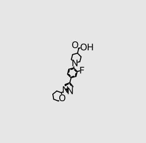 O=C(O)C1CCN(c2ccc(-c3cnn(C4CCCCO4)c3)cc2F)CC1